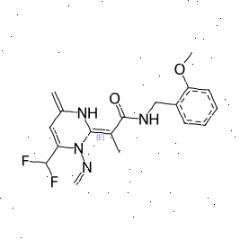 C=NN1C(C(F)F)=CC(=C)N/C1=C(/C)C(=O)NCc1ccccc1OC